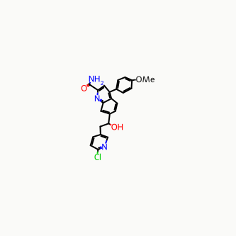 COc1ccc(-c2cc(C(N)=O)nc3cc(C(O)Cc4ccc(Cl)nc4)ccc23)cc1